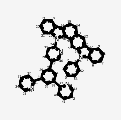 c1ccc(-n2c3ccccc3c3cc4ccc5c6ccccc6n(-c6ccc(-c7cc(-c8ccccn8)cc(-c8ccccn8)c7)cn6)c5c4cc32)cc1